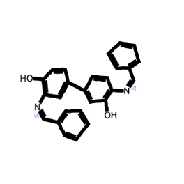 Oc1cc(-c2ccc(O)c(/N=C\c3ccccc3)c2)ccc1/N=C\c1ccccc1